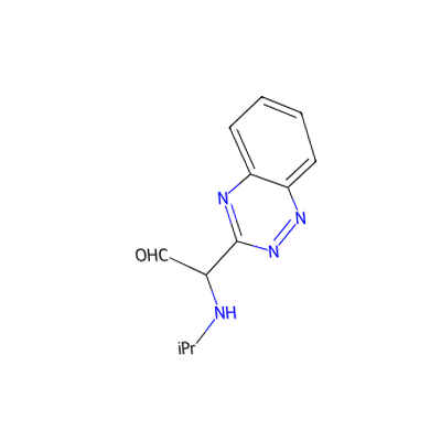 CC(C)NC(C=O)c1nnc2ccccc2n1